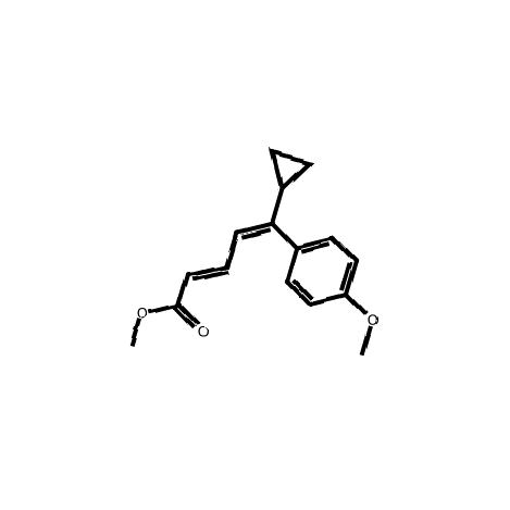 COC(=O)/C=C/C=C(\c1ccc(OC)cc1)C1CC1